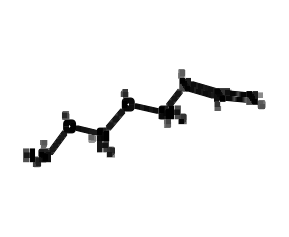 [N-]=[N+]=N[SiH2]O[SiH2]O[SiH3]